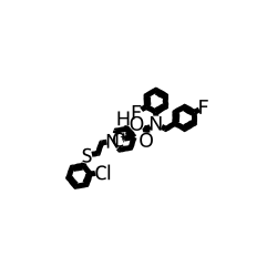 O=C(O[C@H]1C[N+]2(CCSc3ccccc3Cl)CCC1CC2)N(Cc1ccc(F)cc1)c1ccccc1F